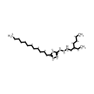 CCCCCCCCCCCCc1nnc(SSNCC(CC)CCCC)s1